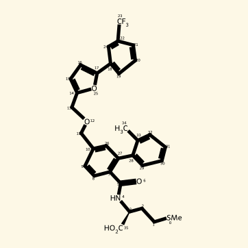 CSCC[C@H](NC(=O)c1ccc(COCc2ccc(-c3cccc(C(F)(F)F)c3)o2)cc1-c1ccccc1C)C(=O)O